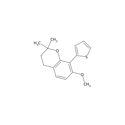 COc1ccc2c(c1-c1cccs1)OC(C)(C)CC2